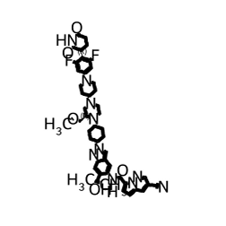 COC[C@H]1CN(C2CCN(c3cc(F)c([C@H]4CCC(=O)NC4=O)c(F)c3)CC2)CCN1C1CCC(n2cc3cc(NC(=O)c4ccc5cc(C#N)cnn45)c(C(C)(C)O)cc3n2)CC1